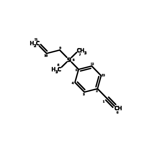 C#Cc1ccc([Si](C)(C)CC=C)cc1